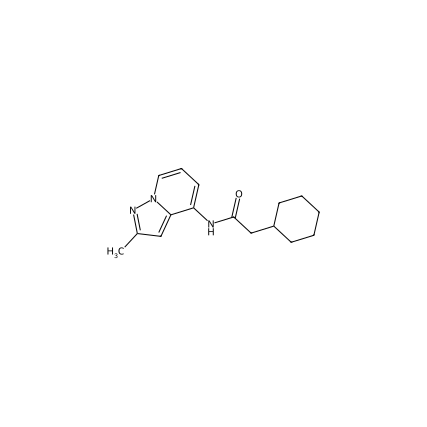 Cc1cc2c(NC(=O)CC3CCCCC3)cccn2n1